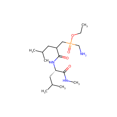 CCOP(=O)(CN)CC(CC(C)C)C(=O)N[C@@H](CC(C)C)C(=O)NC